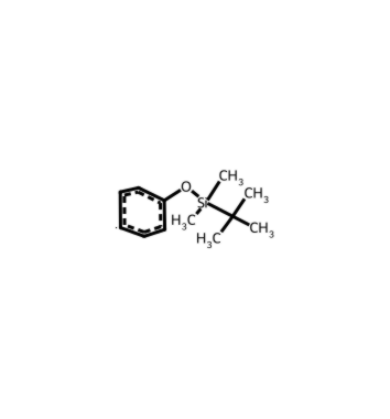 CC(C)(C)[Si](C)(C)Oc1cc[c]cc1